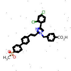 CS(=O)(=O)c1ccc(-c2ccc(/C=C/c3nc(-c4ccc(Cl)cc4Cl)cn3Cc3ccc(C(=O)O)cc3)cc2)cc1